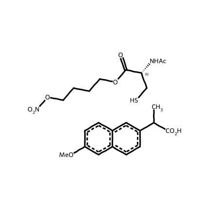 CC(=O)N[C@H](CS)C(=O)OCCCCO[N+](=O)[O-].COc1ccc2cc(C(C)C(=O)O)ccc2c1